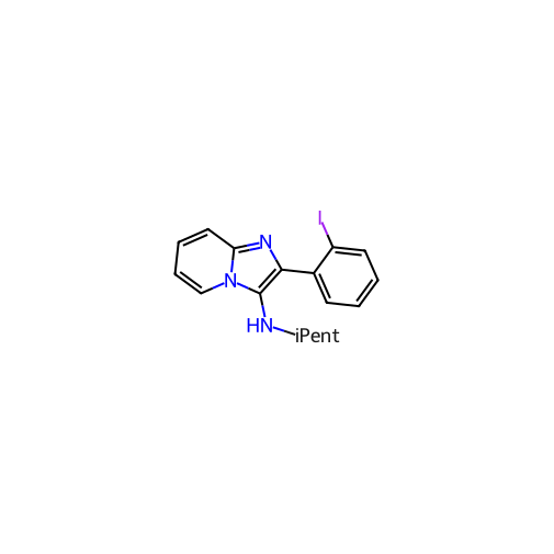 CCCC(C)Nc1c(-c2ccccc2I)nc2ccccn12